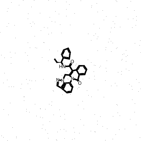 CC[C@H](NC(=O)c1c(Cn2cccn2)n(-c2ccccc2)c(=O)c2ccccc12)c1ccccc1